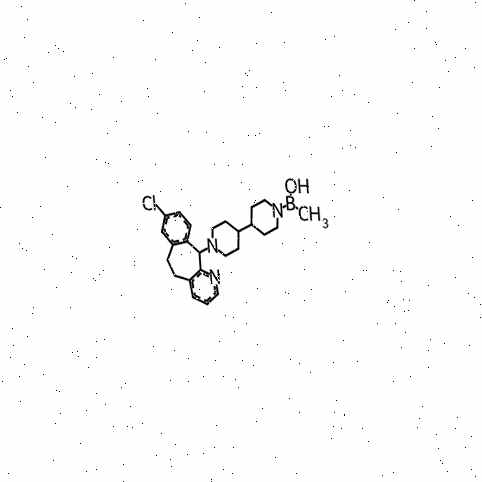 CB(O)N1CCC(C2CCN(C3c4ccc(Cl)cc4CCc4cccnc43)CC2)CC1